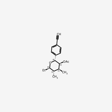 C#Cc1ccc([C@H]2O[C@H](CC)[C@@H](C)[C@H](C)[C@@H]2OC(C)=O)cc1